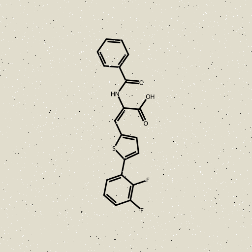 O=C(O)/C(=C\c1ccc(-c2cccc(F)c2F)s1)NC(=O)c1ccccc1